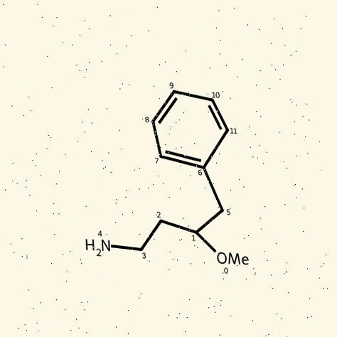 COC(CCN)Cc1ccccc1